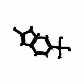 Cc1cc2ccc(C(C)(C)C)cc2o1